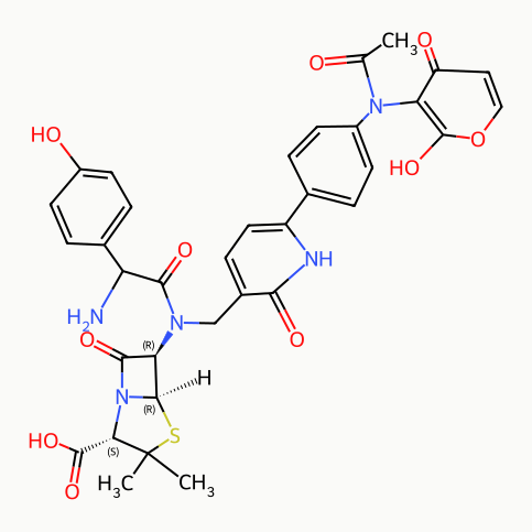 CC(=O)N(c1ccc(-c2ccc(CN(C(=O)C(N)c3ccc(O)cc3)[C@@H]3C(=O)N4[C@@H]3SC(C)(C)[C@@H]4C(=O)O)c(=O)[nH]2)cc1)c1c(O)occc1=O